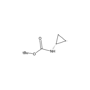 CC(C)(C)OC(=O)N[C@H]1[CH]C1